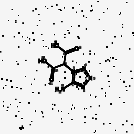 Nc1nnnn1C(C(=O)O)C(=O)O